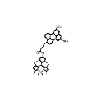 CC1=CC(C)=[N+]2C1=C(c1c(C)cc(OC(=O)CCCc3ccc4c5cc(C(C)(C)C)cc6cc(C(C)(C)C)cc(c7cccc3c74)c65)cc1C)c1c(C)cc(C)n1[B-]2(F)F